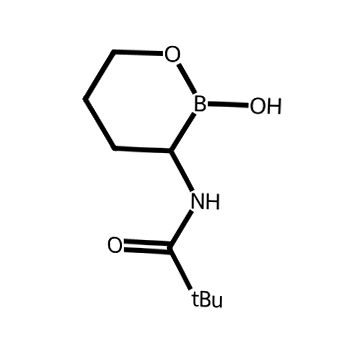 CC(C)(C)C(=O)NC1CCCOB1O